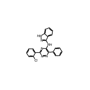 Clc1ccccc1-c1nnc(-c2ccccc2)c(Nc2n[nH]c3ccccc23)n1